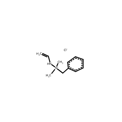 C=CN[N+](C)(C)Cc1ccccc1.[Cl-]